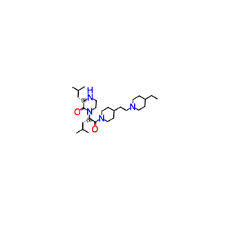 CCC1CCN(CCC2CCN(C(=O)[C@H](CC(C)C)N3CCN[C@@H](CC(C)C)C3=O)CC2)CC1